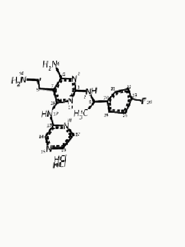 CC(Nc1nc(N)c(CCN)c(Nc2cnccn2)n1)c1ccc(F)cc1.Cl.Cl